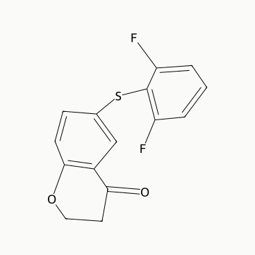 O=C1CCOc2ccc(Sc3c(F)cccc3F)cc21